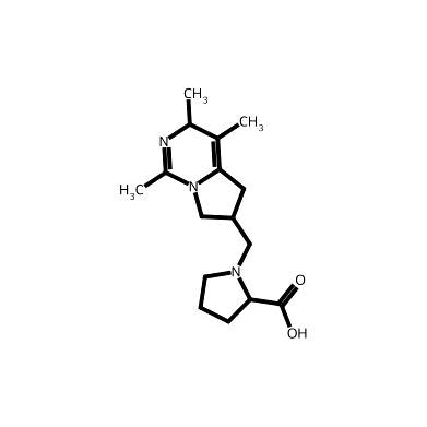 CC1=NC(C)C(C)=C2CC(CN3CCCC3C(=O)O)CN12